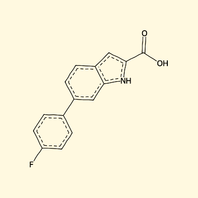 O=C(O)c1cc2ccc(-c3ccc(F)cc3)cc2[nH]1